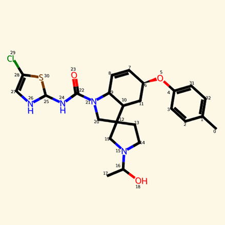 Cc1ccc(O[C@@H]2C=CC3C(C2)C2(CCN(C(C)O)C2)CN3C(=O)NC2NC=C(Cl)S2)cc1